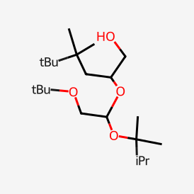 CC(C)C(C)(C)OC(COC(C)(C)C)OC(CO)CC(C)(C)C(C)(C)C